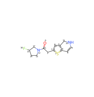 O=C(Cc1cc2c(s1)C=CNC2)N1CCC(F)C1